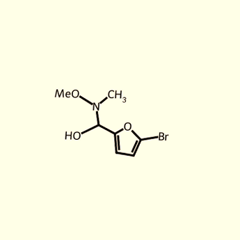 CON(C)C(O)c1ccc(Br)o1